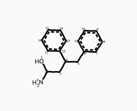 NC(O)CC(Cc1ccccc1)c1ccccc1